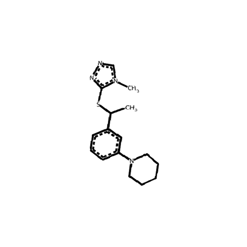 CC(Sc1nncn1C)c1cccc(N2CCCCC2)c1